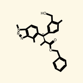 Cc1ccc([C@H](c2ccc3c(nnn3C)c2C)C(C)C(=O)OCc2ccccc2)cc1CO